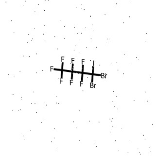 FC(F)(F)C(F)(F)C(F)(F)C(Br)(Br)I